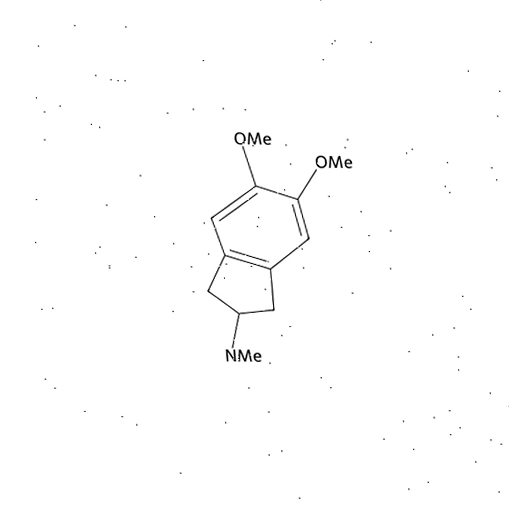 CNC1Cc2cc(OC)c(OC)cc2C1